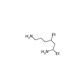 CCC(N)CC(CC)CCCN